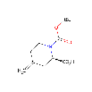 C=C1CCN(C(=O)OC(C)(C)C)[C@@H](C(=O)O)C1